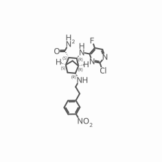 NC(=O)[C@H]1[C@H]2C[C@@H]([C@H]1Nc1nc(Cl)ncc1F)[C@H](NCCc1cccc([N+](=O)[O-])c1)C2